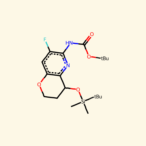 CC(C)(C)OC(=O)Nc1nc2c(cc1F)OCCC2O[Si](C)(C)C(C)(C)C